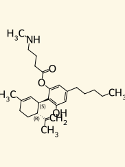 C=C(C)[C@@H]1CCC(C)=C[C@H]1c1c(O)cc(CCCCC)cc1OC(=O)CCCNC